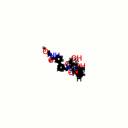 COCCNC(=O)c1cccc(-c2cccc(CN3O[C@@H](CO)[C@@H]([C@H](C)O)[C@H]3C(=O)N[C@H]3C[C@H]4C[C@@H]([C@@H]3C)C4(C)C)c2)c1